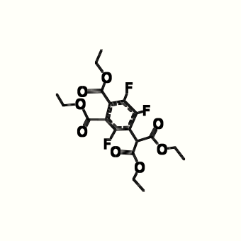 CCOC(=O)c1c(F)c(F)c(C(C(=O)OCC)C(=O)OCC)c(F)c1C(=O)OCC